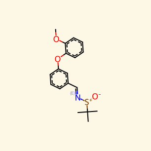 COc1ccccc1Oc1cccc(/C=N/[S+]([O-])C(C)(C)C)c1